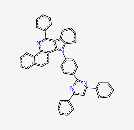 c1ccc(-c2cc(-c3ccccc3)nc(-c3ccc(-n4c5ccccc5c5c(-c6ccccc6)nc6c7ccccc7ccc6c54)cc3)n2)cc1